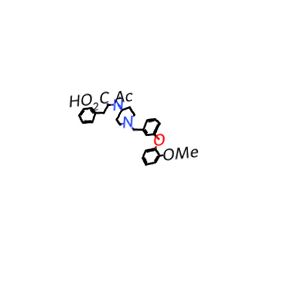 COc1ccccc1Oc1cccc(CN2CCC(N(C(C)=O)C(Cc3ccccc3)C(=O)O)CC2)c1